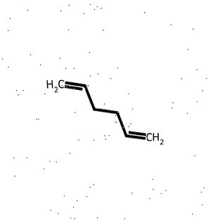 C=[C]CCC=C